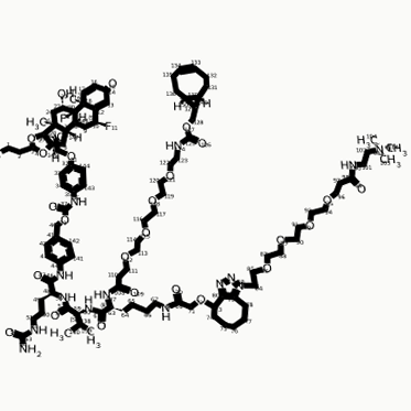 CCCC1O[C@@H]2C[C@H]3[C@@H]4C[C@H](F)C5=CC(=O)C=C[C@]5(C)[C@@]4(F)[C@@H](O)C[C@]3(C)[C@]2(C(=O)COc2ccc(NC(=O)OCc3ccc(NC(=O)[C@H](CCCNC(N)=O)NC(=O)[C@@H](NC(=O)[C@@H](CCCCNC(=O)COC4CCCCCc5c4nnn5CCOCCOCCOCCOCCC(=O)NCC[N+](C)(C)C)NC(=O)CCOCCOCCOCCOCCNC(=O)OCC4[C@H]5CCC#CCC[C@@H]45)C(C)C)cc3)cc2)O1